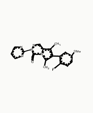 COc1ccc(F)c(-c2c(C)c3cnn(-c4ncccn4)c(=O)n3c2C)c1